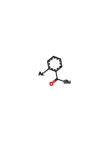 CC(=O)c1ccccc1C(=O)C(C)(C)C